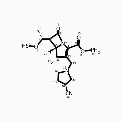 C[C@@H](OS)C1C(=O)N2C(C(=O)OP)=C(CN3CC[C@H](C#N)C3)[C@H](C)[C@H]12